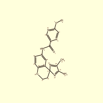 CCOc1cnc(C(=O)Nc2ccc3c(c2)C2(CCO3)N=C(C)C(N)=N2)cn1